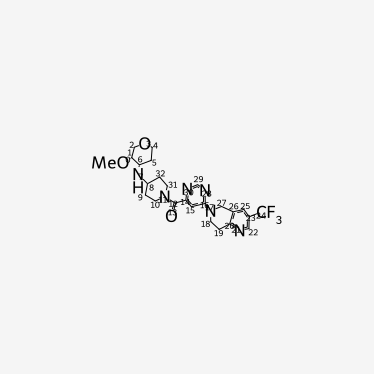 CO[C@@H]1COCC[C@@H]1NC1CCN(C(=O)c2cc(N3CCc4ncc(C(F)(F)F)cc4C3)ncn2)CC1